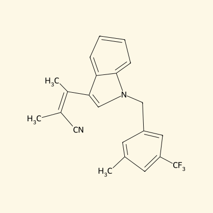 C/C(C#N)=C(\C)c1cn(Cc2cc(C)cc(C(F)(F)F)c2)c2ccccc12